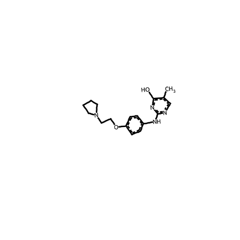 Cc1cnc(Nc2ccc(OCCN3CCCC3)cc2)nc1O